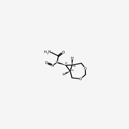 NC(=O)N(N=O)[C@H]1[C@@H]2COCOC[C@@H]21